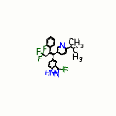 CC(C)c1ccc(/C(=C(/CC(F)(F)F)c2ccccc2)c2ccc3[nH]nc(F)c3c2)cn1